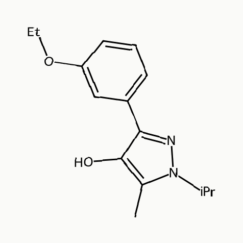 CCOc1cccc(-c2nn(C(C)C)c(C)c2O)c1